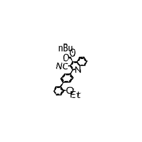 CCCCOC(=O)c1c(C#N)c(-c2ccc(-c3ccccc3OCC)cc2)nc2ccccc12